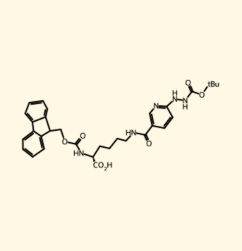 CC(C)(C)OC(=O)NNc1ccc(C(=O)NCCCC[C@H](NC(=O)OCC2c3ccccc3-c3ccccc32)C(=O)O)cn1